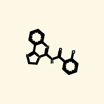 O=C(NC1=Nc2ccccc2C2=NCCN12)c1ccccc1Cl